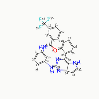 Cc1ccc(NC(=O)c2cccc(C(F)(F)F)c2)cc1Nc1nc(-c2ccccc2)c2[nH]ccc2n1